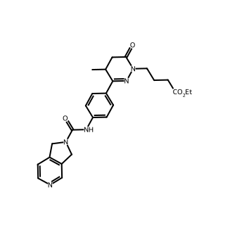 CCOC(=O)CCCN1N=C(c2ccc(NC(=O)N3Cc4ccncc4C3)cc2)C(C)CC1=O